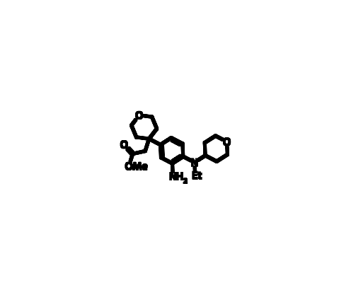 CCN(c1ccc(C2(CC(=O)OC)CCOCC2)cc1N)C1CCOCC1